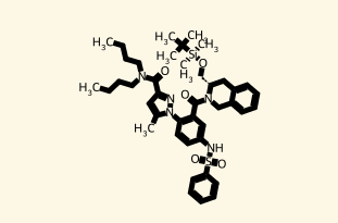 CCCCN(CCCC)C(=O)c1cc(C)n(-c2ccc(NS(=O)(=O)c3ccccc3)cc2C(=O)N2Cc3ccccc3C[C@H]2CO[Si](C)(C)C(C)(C)C)n1